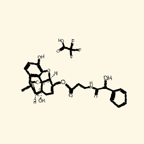 CN1CC[C@]23c4c5ccc(O)c4O[C@H]2C(OC(=O)CCNC(=O)C(O)c2ccccc2)=CC[C@@]3(O)[C@H]1C5.O=C(O)C(F)(F)F